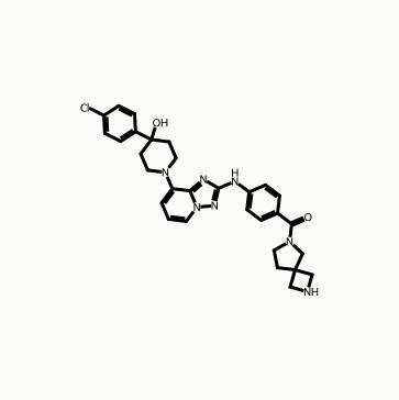 O=C(c1ccc(Nc2nc3c(N4CCC(O)(c5ccc(Cl)cc5)CC4)cccn3n2)cc1)N1CCC2(CNC2)C1